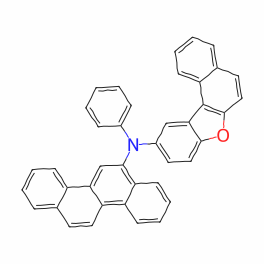 c1ccc(N(c2ccc3oc4ccc5ccccc5c4c3c2)c2cc3c4ccccc4ccc3c3ccccc23)cc1